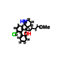 COCCCC[C@@](O)(c1cccc(Cl)c1-c1ccccc1)[C@@H]1CCCNC1